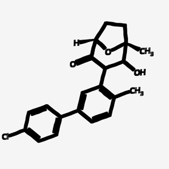 Cc1ccc(-c2ccc(Cl)cc2)cc1C1C(=O)[C@@H]2CC[C@@](C)(O2)C1O